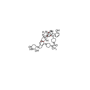 CN(C(=O)N1CCC(Oc2cccc(N3[C@@H]4COC[C@H]3CN(c3cc(-c5ccccc5O)nnc3N)C4)c2)CC1)C1CCN(c2cccc3c2CCN3[C@@H]2CCC(=O)NC2O)CC1